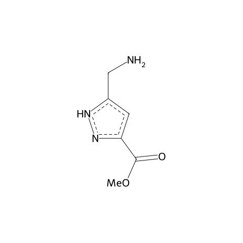 COC(=O)c1cc(CN)[nH]n1